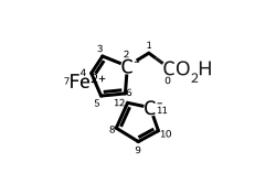 O=C(O)C[c-]1cccc1.[Fe+2].c1cc[cH-]c1